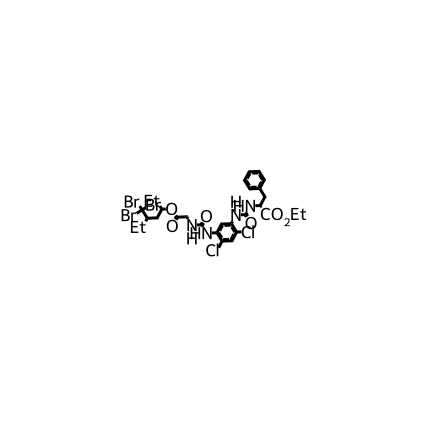 CCOC(=O)[C@H](Cc1ccccc1)NC(=O)Nc1cc(NC(=O)NCC(=O)OC(CC)CC(CC)C(Br)(Br)Br)c(Cl)cc1Cl